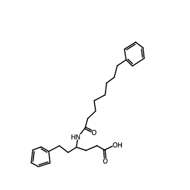 O=C(O)CCC(CCc1ccccc1)NC(=O)CCCCCCCc1ccccc1